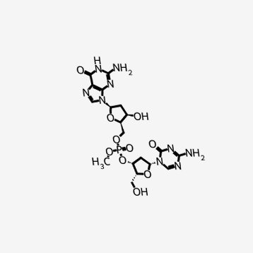 COP(=O)(OC[C@H]1O[C@@H](n2cnc3c(=O)[nH]c(N)nc32)C[C@H]1O)O[C@@H]1C[C@H](n2cnc(N)nc2=O)O[C@@H]1CO